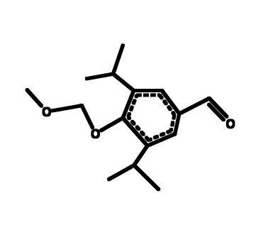 COCOc1c(C(C)C)cc(C=O)cc1C(C)C